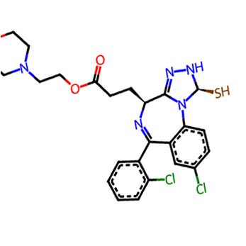 O=C(CC[C@@H]1N=C(c2ccccc2Cl)c2cc(Cl)ccc2N2C1=NN[C@H]2S)OCCN1CCOCC1